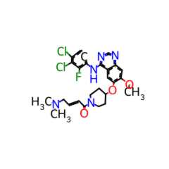 COc1cc2ncnc(Nc3ccc(Cl)c(Cl)c3F)c2cc1OC1CCN(C(=O)C=CCN(C)C)CC1